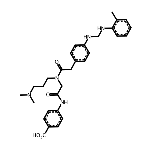 Cc1ccccc1NCNc1ccc(CC(=O)N(CCCN(C)C)CC(=O)Nc2ccc(C(=O)O)cc2)cc1